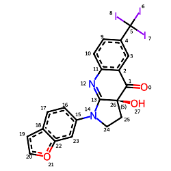 O=C1c2cc(C(I)(I)I)ccc2N=C2N(c3ccc4ccoc4c3)CC[C@@]12O